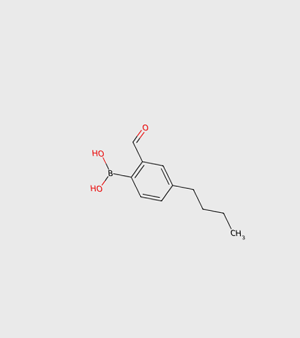 CCCCc1ccc(B(O)O)c(C=O)c1